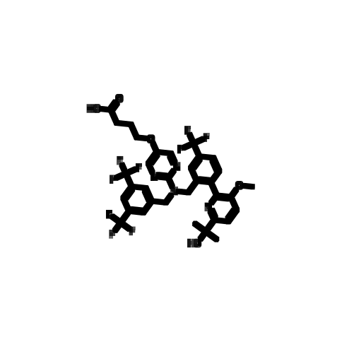 COc1ccc(C(C)(C)O)nc1-c1ccc(C(F)(F)F)cc1CN(Cc1cc(C(F)(F)F)cc(C(F)(F)F)c1)c1ncc(OCCCC(=O)O)cn1